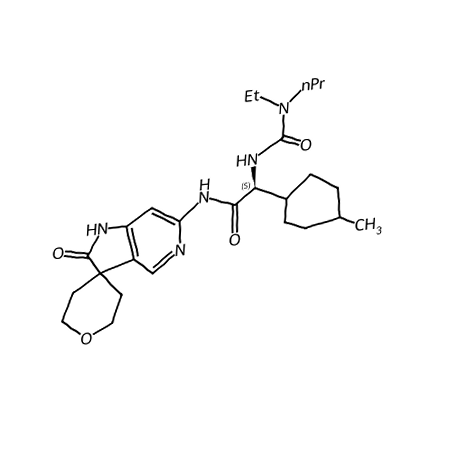 CCCN(CC)C(=O)N[C@H](C(=O)Nc1cc2c(cn1)C1(CCOCC1)C(=O)N2)C1CCC(C)CC1